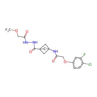 O=C(COC(F)(F)F)NNC(=O)C12CC(NC(=O)COc3ccc(Cl)c(F)c3)(C1)C2